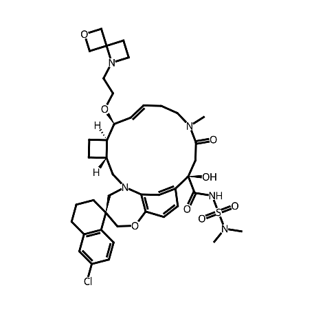 CN1CC/C=C/[C@H](OCCN2CCC23COC3)[C@@H]2CC[C@H]2CN2C[C@@]3(CCCc4cc(Cl)ccc43)COc3ccc(cc32)[C@@](O)(C(=O)NS(=O)(=O)N(C)C)CC1=O